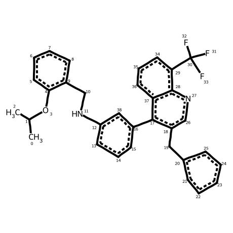 CC(C)Oc1ccccc1CNc1cccc(-c2c(Cc3ccccc3)cnc3c(C(F)(F)F)cccc23)c1